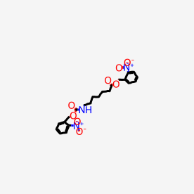 O=C(CCCCCCNC(=O)OCc1ccccc1[N+](=O)[O-])OCc1ccccc1[N+](=O)[O-]